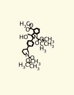 COC(=O)c1cccc2c1c(CO)c(-c1ccc(C3CCCN(C(=O)OC(C)(C)C)C3)cc1)n2C(=O)OC(C)(C)C